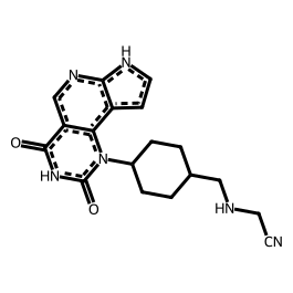 N#CCNCC1CCC(n2c(=O)[nH]c(=O)c3cnc4[nH]ccc4c32)CC1